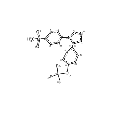 CS(=O)(=O)c1ccc(-n2cncc2-c2ccc(OC(F)(F)F)cc2)nc1